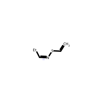 C=CS/N=C\CC